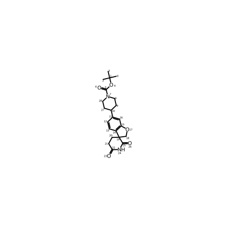 CC(C)(C)OC(=O)N1CCC(c2ccc3c(c2)OCC32CCC(=O)NC2=O)CC1